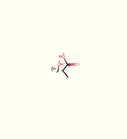 CCC(=O)O.CO.[Zn]